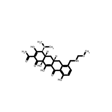 COCNCc1ccc(O)c2c1C[C@H]1C[C@H]3[C@H](N(C)C)C(O)=C(C(N)=O)C(=O)[C@@]3(O)C(O)=C1C2=O